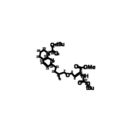 COC(=O)/C(=C\COCC(C)CCc1ccc2c(n1)N(C(=O)OC(C)(C)C)CCC2)NC(=O)OC(C)(C)C